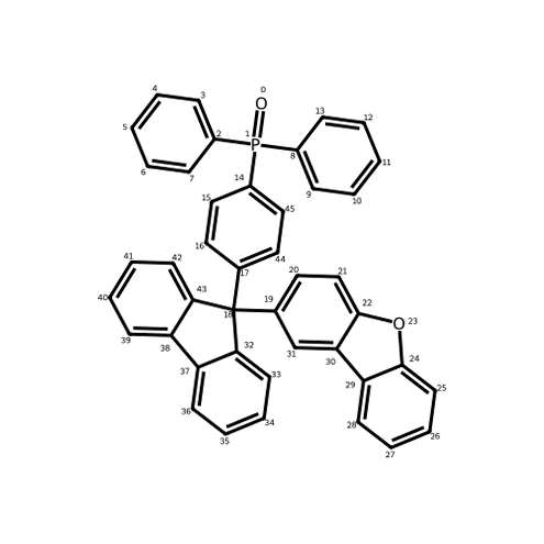 O=P(c1ccccc1)(c1ccccc1)c1ccc(C2(c3ccc4oc5ccccc5c4c3)c3ccccc3-c3ccccc32)cc1